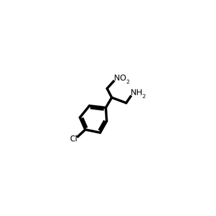 NCC(C[N+](=O)[O-])c1ccc(Cl)cc1